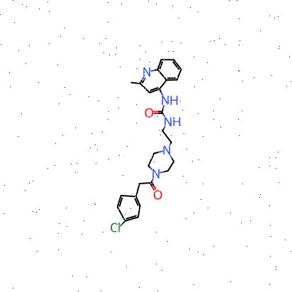 Cc1cc(NC(=O)NCCN2CCN(C(=O)Cc3ccc(Cl)cc3)CC2)c2ccccc2n1